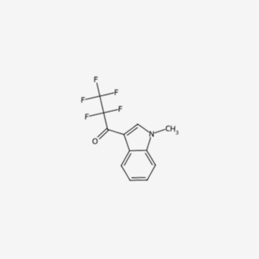 Cn1cc(C(=O)C(F)(F)C(F)(F)F)c2ccccc21